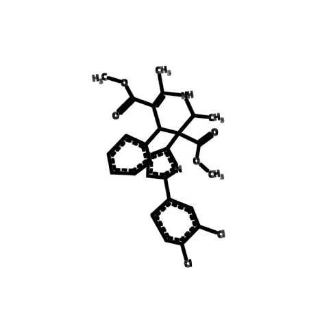 COC(=O)C1=C(C)NC(C)C(C(=O)OC)(c2nc(-c3ccc(Cl)c(Cl)c3)cs2)C1c1ccccc1